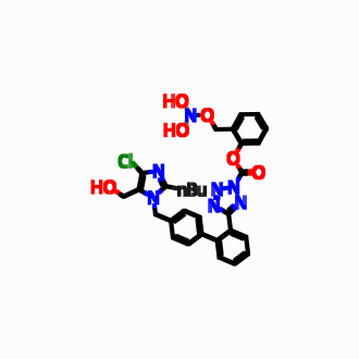 CCCCc1nc(Cl)c(CO)n1Cc1ccc(-c2ccccc2-c2nnn(C(=O)Oc3ccccc3CON(O)O)n2)cc1